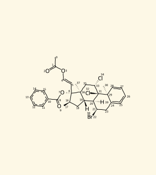 CC(=O)OC=C[C@]1(OC(=O)c2ccccc2)[C@H](C)C[C@H]2[C@@H]3[C@H](Br)CC4=C=CC=C[C@]4(C)[C@@]3(Cl)[C@@H](Cl)C[C@@]21C